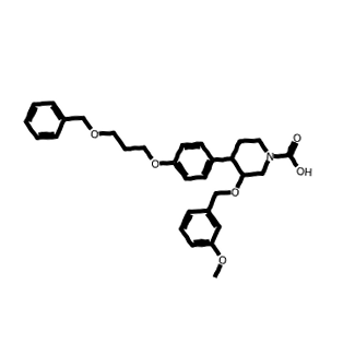 COc1cccc(COC2CN(C(=O)O)CCC2c2ccc(OCCCOCc3ccccc3)cc2)c1